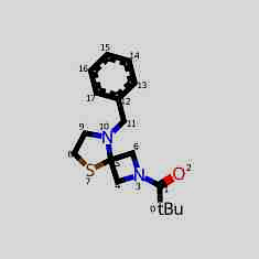 CC(C)(C)C(=O)N1CC2(C1)SCCN2Cc1ccccc1